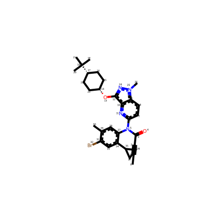 CC#CC(=O)N(c1ccc2c(n1)c(O[C@H]1CC[C@@H](C(C)(C)C)CC1)nn2C)c1cc(C)c(Br)cc1C1CC1